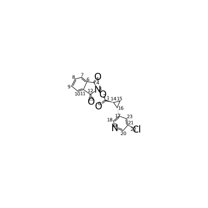 O=C(ON1C(=O)c2ccccc2C1=O)[C@H]1C[C@@H]1c1cncc(Cl)c1